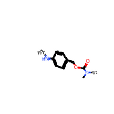 CCCNc1ccc(COC(=O)N(C)CC)cc1